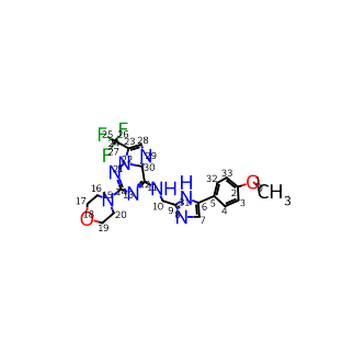 COc1ccc(-c2cnc(CNc3nc(N4CCOCC4)nn4c(C(F)(F)F)cnc34)[nH]2)cc1